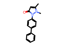 Cc1cc(=O)n(-c2ccc(-c3ccccc3)cc2)n1C